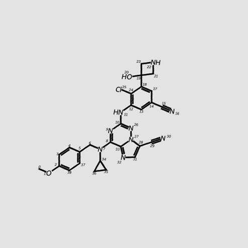 COc1ccc(CN(c2nc(Nc3cc(C#N)cc(C4(O)CNC4)c3Cl)nn3c(C#N)cnc23)C2CC2)cc1